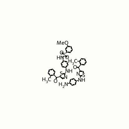 COc1cccc(S(=O)(=O)Nc2ccc(Nc3ncc(C(=O)c4ccccc4C)s3)cc2)c1.Cc1ccccc1C(=O)c1csc(Nc2ccc(N)cc2)n1